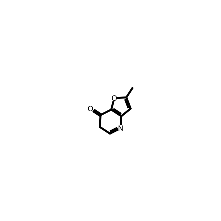 Cc1cc2c(o1)C(=O)CC=N2